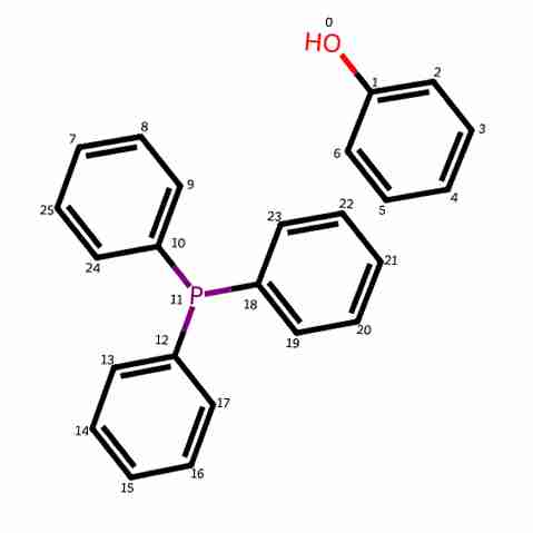 Oc1ccccc1.c1ccc(P(c2ccccc2)c2ccccc2)cc1